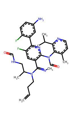 C=CCCN(/C(=N/C)c1cc(F)c(-c2cc(N)ccc2F)nc1N(C=O)c1c(C)ccnc1C(C)C)C(C)CNC=O